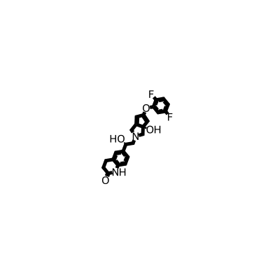 O=C1CCc2cc([C@H](O)CN3CC4=CC(Oc5cc(F)ccc5F)=C[C@]4(O)C3)ccc2N1